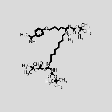 CC(=N)c1ccc(OCCCC/C(=N/C(=O)OC(C)(C)C)N(C)CCCCCCCCN/C(=N\C(=O)OC(C)(C)C)NC(=O)OC(C)(C)C)cc1